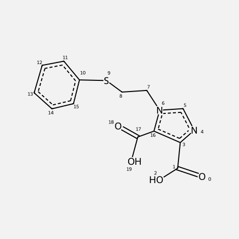 O=C(O)c1ncn(CCSc2ccccc2)c1C(=O)O